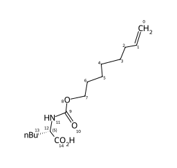 C=CCCCCCCOC(=O)N[C@@H](CCCC)C(=O)O